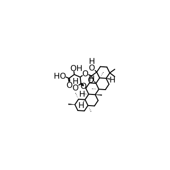 C[C@@H]1[C@H]2[C@H]3CC[C@@H]4[C@]5(C)[C@@H](CC[C@@]4(C)[C@]3(C)CC[C@@]2(C)CC[C@H]1C)C(C)(C)CCC5(O)C(=O)OC(C(=O)O)C(O)C(=O)O